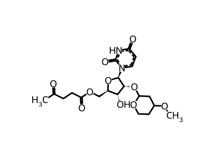 COC1CCOC(O[C@@H]2[C@H](O)[C@@H](COC(=O)CCC(C)=O)O[C@H]2n2ccc(=O)[nH]c2=O)C1